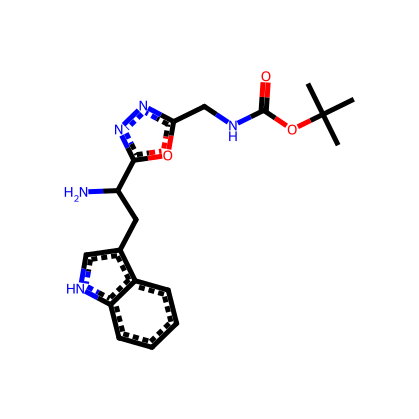 CC(C)(C)OC(=O)NCc1nnc(C(N)Cc2c[nH]c3ccccc23)o1